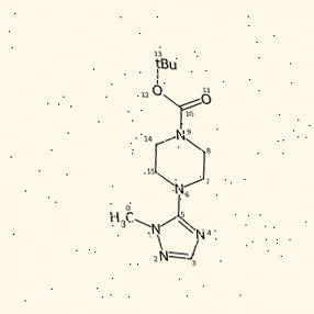 Cn1ncnc1N1CCN(C(=O)OC(C)(C)C)CC1